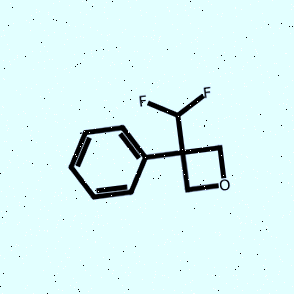 FC(F)C1(c2c[c]ccc2)COC1